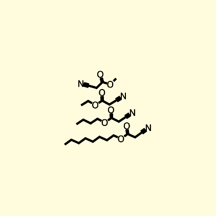 CCCCCCCCOC(=O)CC#N.CCCCOC(=O)CC#N.CCOC(=O)CC#N.COC(=O)CC#N